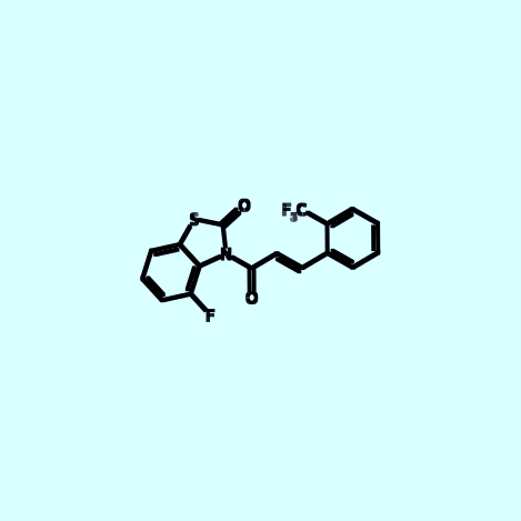 O=C(C=Cc1ccccc1C(F)(F)F)n1c(=O)sc2cccc(F)c21